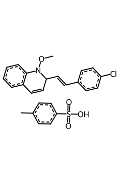 CON1c2ccccc2C=CC1/C=C/c1ccc(Cl)cc1.Cc1ccc(S(=O)(=O)O)cc1